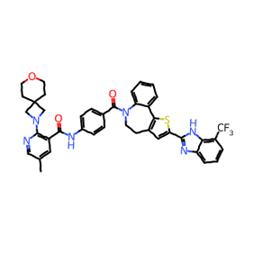 Cc1cnc(N2CC3(CCOCC3)C2)c(C(=O)Nc2ccc(C(=O)N3CCc4cc(-c5nc6cccc(C(F)(F)F)c6[nH]5)sc4-c4ccccc43)cc2)c1